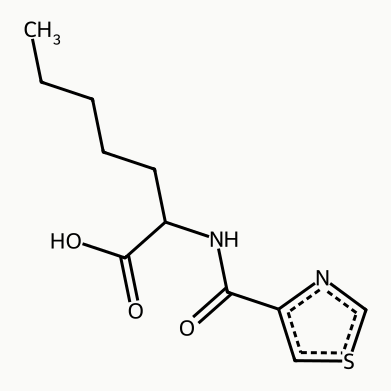 CCCCCC(NC(=O)c1cscn1)C(=O)O